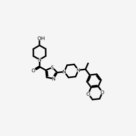 CC(c1ccc2c(c1)OCCO2)N1CCN(c2ncc(C(=O)N3CCC(O)CC3)s2)CC1